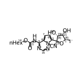 [CH2][C@H]1O[C@@](C#N)(c2ccc3c(NC(=O)OCCCCCC)ncnn23)[C@H](O)[C@@H]1O